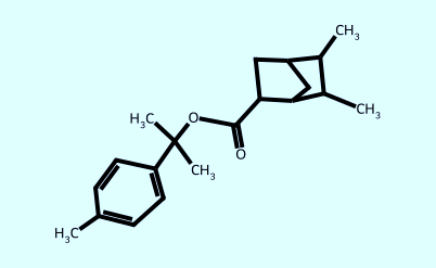 Cc1ccc(C(C)(C)OC(=O)C2CC3CC2C(C)C3C)cc1